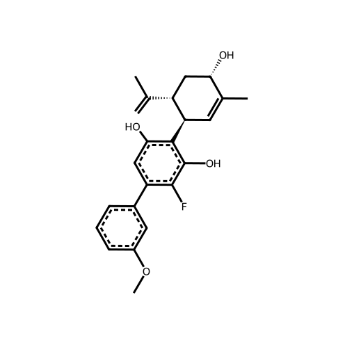 C=C(C)[C@@H]1C[C@H](O)C(C)=C[C@H]1c1c(O)cc(-c2cccc(OC)c2)c(F)c1O